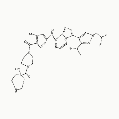 CCc1cc(Nc2nccn3c(-c4cn(CC(F)F)nc4C(F)F)cnc23)ccc1C(=O)N1CCN(C(=O)C2(O)CCNCC2)CC1